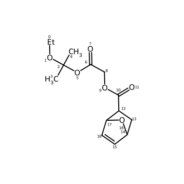 CCOC(C)(C)OC(=O)COC(=O)C1CC2C=CC1O2